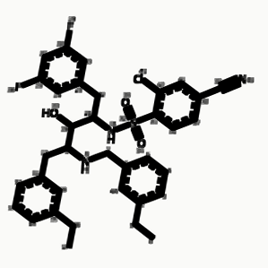 CCc1cccc(CNC(Cc2cccc(CC)c2)C(O)C(Cc2cc(F)cc(F)c2)NS(=O)(=O)c2ccc(C#N)cc2Cl)c1